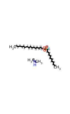 CCCCCCCCCCCCCCCCCOS(=O)(=O)C(F)CCCCCCCCCCC.CNC